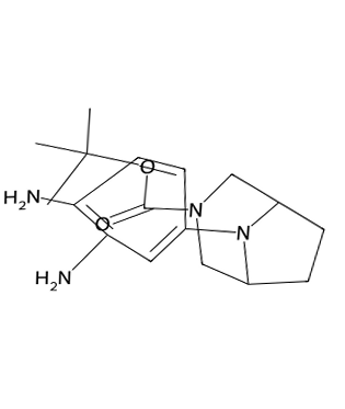 CC(C)(C)OC(=O)N1CC2CCC(C1)N2c1ccc(N)c(N)c1